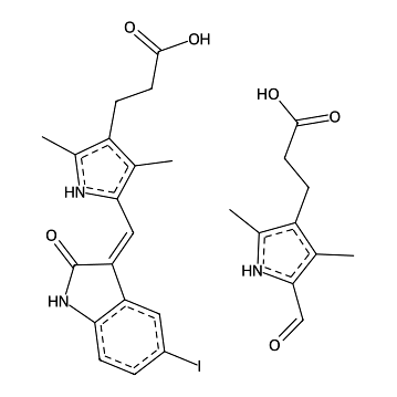 Cc1[nH]c(C=C2C(=O)Nc3ccc(I)cc32)c(C)c1CCC(=O)O.Cc1[nH]c(C=O)c(C)c1CCC(=O)O